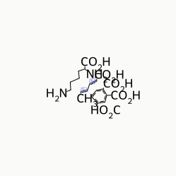 C/C=C/C=C/C(=O)O.NCCCCC(N)C(=O)O.O=C(O)c1ccc(C(=O)O)c(C(=O)O)c1